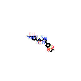 BC(NC)c1ccc(-c2cc(-c3nc(-c4ccc(S(=O)(=O)C(C)C)cc4)cnc3N)on2)cc1